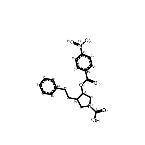 O=C(OC1CN(C(=O)O)CC1CCc1ccccc1)c1ccc([N+](=O)[O-])cc1